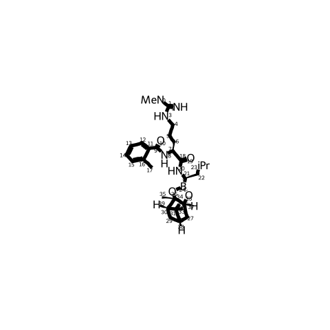 CNC(=N)NCCC[C@H](NC(=O)c1ccccc1C)C(=O)N[C@@H](CC(C)C)B1O[C@@H]2C[C@@H]3C[C@@H](C3(C)C)[C@]2(C)O1